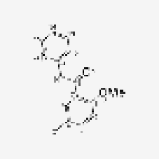 COc1ccc(C)cc1C(=O)Cc1ccccn1